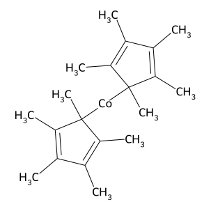 CC1=C(C)[C](C)([Co][C]2(C)C(C)=C(C)C(C)=C2C)C(C)=C1C